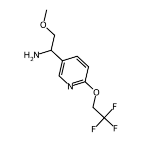 COCC(N)c1ccc(OCC(F)(F)F)nc1